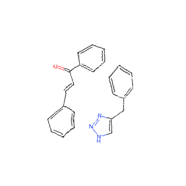 O=C(C=Cc1ccccc1)c1ccccc1.c1ccc(Cc2c[nH]nn2)cc1